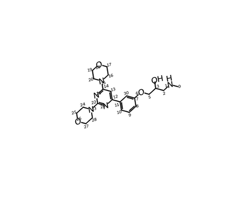 CNCC(O)COc1cccc(-c2cc(N3CCOCC3)nc(N3CCOCC3)n2)c1